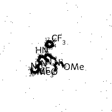 COCCN(CCOC)Cc1cc(Nc2ccc(C(F)(F)F)cc2)c2ccc(-c3ncccc3C(F)(F)F)nc2n1